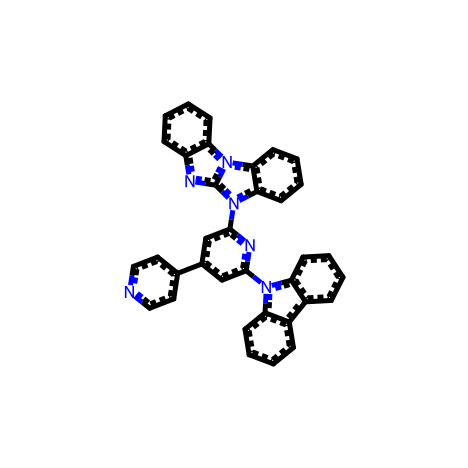 c1ccc2c(c1)nc1n(-c3cc(-c4ccncc4)cc(-n4c5ccccc5c5ccccc54)n3)c3ccccc3n21